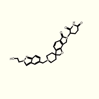 O=C1CCC(N2Cc3c(ccc4c3OCC43CCN(Cc4ccc5nn(CCO)cc5c4)CC3)C2=O)C(=O)N1